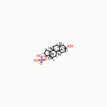 C[C@]12CC[C@@H](O)C[C@H]1CC[C@@H]1[C@@H]2CC[C@]2(C)[C@@H](OP(=O)(O)O)CC[C@@H]12